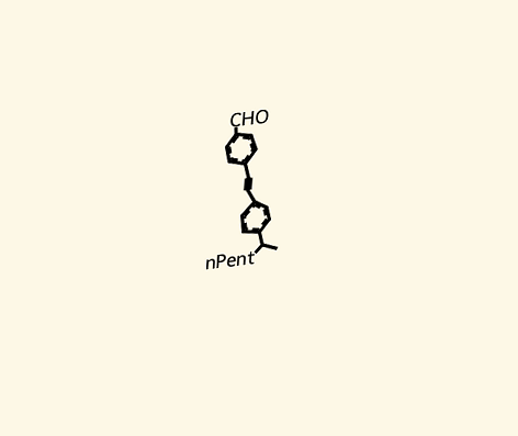 CCCCCC(C)c1ccc(C#Cc2ccc(C=O)cc2)cc1